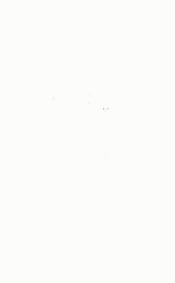 CCCC(CCC=C(C)C(=O)O)[SiH2]OC